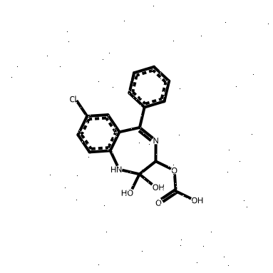 O=C(O)OC1N=C(c2ccccc2)c2cc(Cl)ccc2NC1(O)O